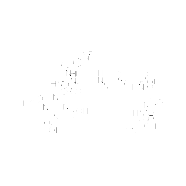 CC(C)(C)[Si](F)(c1ccc(C(=O)NC[C@@H](NC(=O)CN2CCN(CC(=O)O)CCN(CC(=O)O)CCN(CC(=O)O)CC2)C(=O)N[C@@H](CCCCNC(=O)CCC(=O)NCCC[C@H](NC(=O)CC[C@H](NC(=O)N[C@@H](CCC(=O)O)C(=O)O)C(=O)O)C(=O)O)C(=O)O)cc1)C(C)(C)C